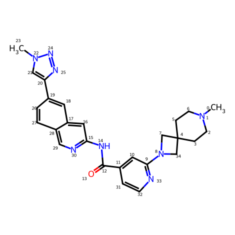 CN1CCC2(CC1)CN(c1cc(C(=O)Nc3cc4cc(-c5cn(C)nn5)ccc4cn3)ccn1)C2